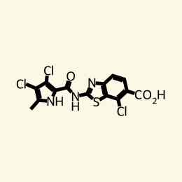 Cc1[nH]c(C(=O)Nc2nc3ccc(C(=O)O)c(Cl)c3s2)c(Cl)c1Cl